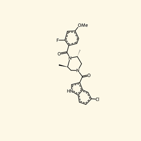 COc1ccc(C(=O)N2[C@H](C)CN(C(=O)c3c[nH]c4ccc(Cl)cc34)C[C@H]2C)c(F)c1